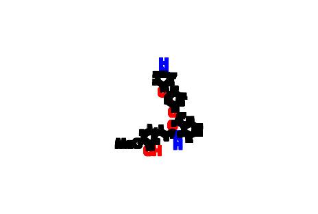 COc1ccc(C=CC(=O)Nc2ccccc2CCOc2cccc(OC3CCNCC3)c2)cc1O